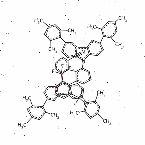 Cc1cc(C)c(-c2ccc3c(c2)c2cc(-c4c(C)cc(C)cc4C)ccc2n3-c2cccc(C#N)c2-c2c(-c3c(C(F)(F)F)cccc3C(F)(F)F)cccc2-n2c3ccc(-c4c(C)cc(C)cc4C)cc3c3cc(-c4c(C)cc(C)cc4C)ccc32)c(C)c1